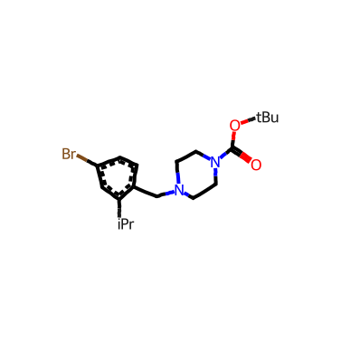 CC(C)c1cc(Br)ccc1CN1CCN(C(=O)OC(C)(C)C)CC1